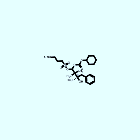 CC(=O)NCCCS(=O)(=O)OC(OC(=O)OC1CCCCC1)C(C)(C)[C@](O)(Cc1ccccc1)C(=O)O